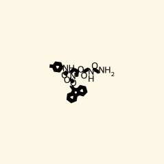 Cc1ccc(NC(=O)[C@@H]2C[C@@H](OC(=O)CNC(=O)CN)CN2C(=O)OCC2c3ccccc3-c3ccccc32)cc1